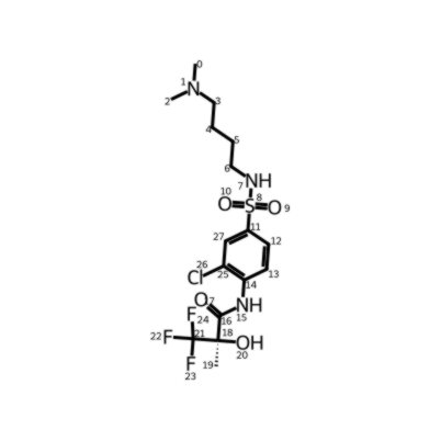 CN(C)CCCCNS(=O)(=O)c1ccc(NC(=O)[C@@](C)(O)C(F)(F)F)c(Cl)c1